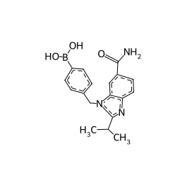 CC(C)c1nc2ccc(C(N)=O)cc2n1Cc1ccc(B(O)O)cc1